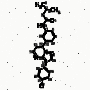 CC(C)CC(=O)Nc1cccc(-c2ccnc3c(-c4ccc(Cl)cc4)cnn23)c1